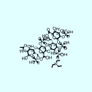 CC(=O)N[C@@H]1[C@@H](O)[C@H](O[C@@H]2O[C@H](C(=O)O)[C@@H](O[C@@H]3O[C@H](CO)[C@@H](O[C@H]4O[C@@H](C(=O)O)[C@H](O)[C@@H](O)[C@@H]4OS(=O)(=O)O)[C@H](OS(=O)(=O)O)[C@H]3NS(=O)(=O)O)[C@H](O)[C@H]2OS(=O)(=O)O)[C@H](COS(=O)(=O)O)O[C@H]1O.CCN(CC)CC